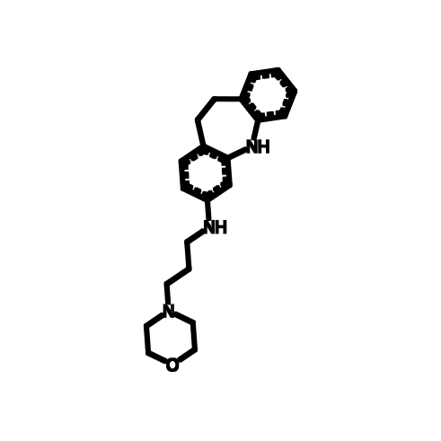 c1ccc2c(c1)CCc1ccc(NCCCN3CCOCC3)cc1N2